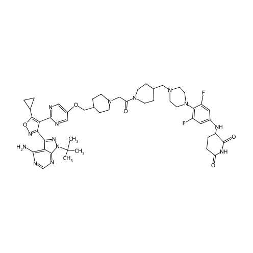 CC(C)(C)n1nc(-c2noc(C3CC3)c2-c2ncc(OCC3CCN(CC(=O)N4CCC(CN5CCN(c6c(F)cc(NC7CCC(=O)NC7=O)cc6F)CC5)CC4)CC3)cn2)c2c(N)ncnc21